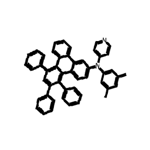 Cc1cc(C)cc(N(c2ccncc2)c2ccc3c(c2)c2ccccc2c2c(-c4ccccc4)cc(-c4ccccc4)c(-c4ccccc4)c32)c1